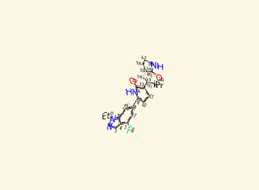 CCn1ncc2c(F)cc(-c3ccc([C@@H](C[C@@H]4CCNC4=O)C(C)C)c(=O)[nH]3)cc21